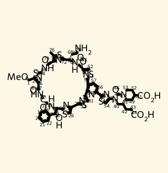 COCc1sc2nc1C(=O)NCC(=O)N[C@@H]([C@@H](O)c1ccccc1)c1nc(cs1)-c1nc(cs1)-c1nc(-c3nc(N(CCCCC(=O)O)C(=O)N4CCC(C(=O)O)CC4)cs3)ccc1-c1nc(cs1)C(=O)N[C@@H](CC(N)=O)c1nc(c(C)s1)C(=O)N2